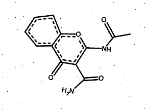 CC(=O)Nc1oc2ccccc2c(=O)c1C(N)=O